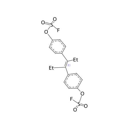 CC/C(=C(/CC)c1ccc(OS(=O)(=O)F)cc1)c1ccc(OS(=O)(=O)F)cc1